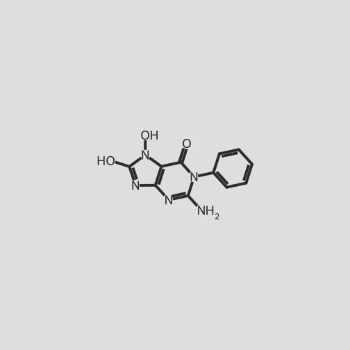 Nc1nc2nc(O)n(O)c2c(=O)n1-c1ccccc1